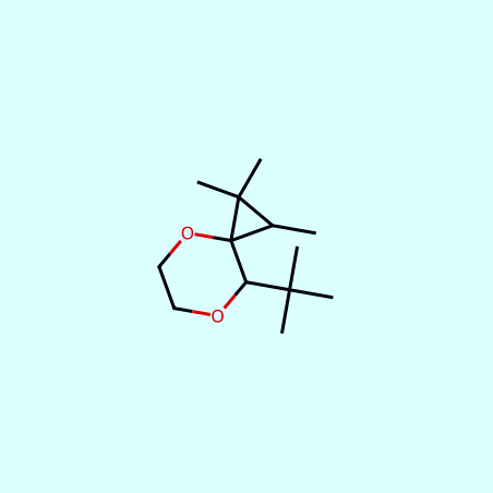 CC1C(C)(C)C12OCCOC2C(C)(C)C